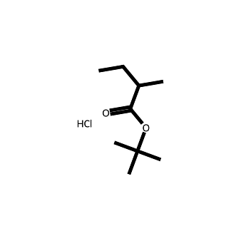 CCC(C)C(=O)OC(C)(C)C.Cl